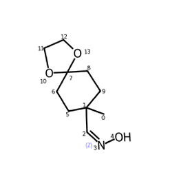 CC1(/C=N\O)CCC2(CC1)OCCO2